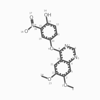 COc1cc2ncnc(Oc3ccc(O)c([N+](=O)[O-])c3)c2cc1OC